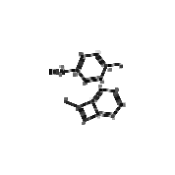 CC1=Cc2ccccc21.Cc1ccc(S(=O)(=O)O)cc1